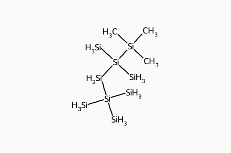 C[Si](C)(C)[Si]([SiH3])([SiH3])[SiH2][Si]([SiH3])([SiH3])[SiH3]